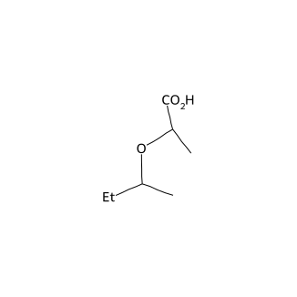 CCC(C)OC(C)C(=O)O